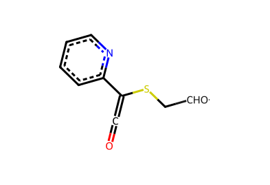 O=[C]CSC(=C=O)c1ccccn1